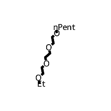 CCCCCOCCOCCOCCOCC